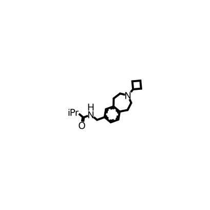 CC(C)C(=O)NCc1ccc2c(c1)CCN(C1CCC1)CC2